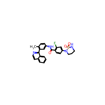 Cc1ccc(NC(=O)c2ccc(N3CCCNS3(=O)=O)cc2F)cc1-c1nccc2ccccc12